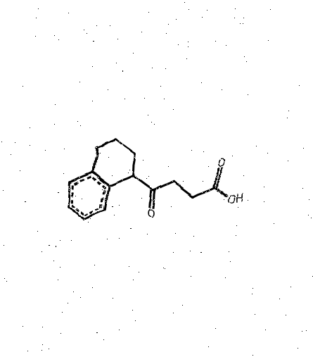 O=C(O)CCC(=O)C1CCCc2ccccc21